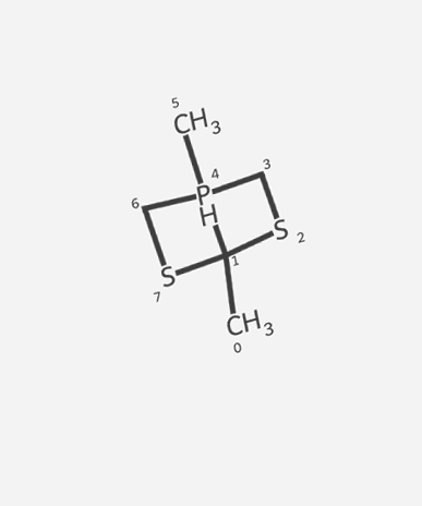 CC12SC[PH]1(C)CS2